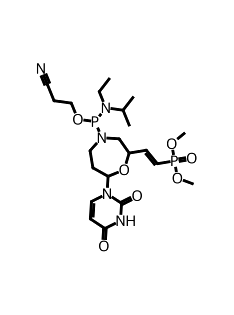 CCN(C(C)C)P(OCCC#N)N1CCC(n2ccc(=O)[nH]c2=O)OC(/C=C/P(=O)(OC)OC)C1